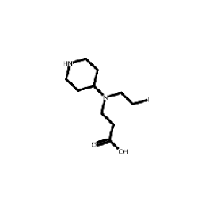 O=C(O)CCN(CCI)C1CCNCC1